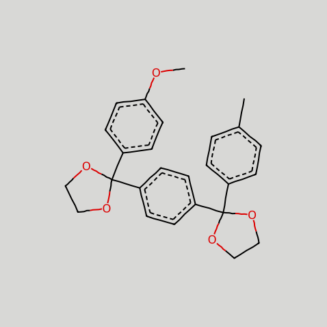 COc1ccc(C2(c3ccc(C4(c5ccc(C)cc5)OCCO4)cc3)OCCO2)cc1